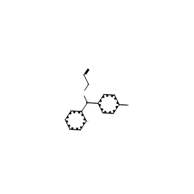 C=CCOC(c1ccccc1)c1ccc(Cl)cc1